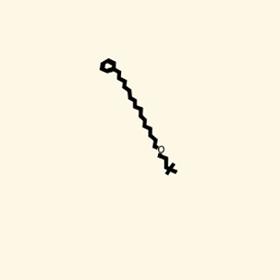 CC(C)(C)CCCOCCCCCCCCCCCCCCCCc1ccccc1